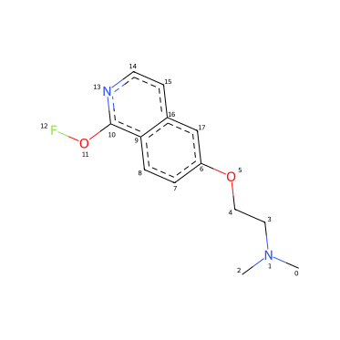 CN(C)CCOc1ccc2c(OF)nccc2c1